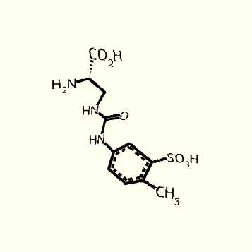 Cc1ccc(NC(=O)NC[C@H](N)C(=O)O)cc1S(=O)(=O)O